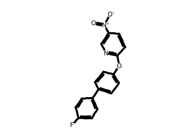 O=[N+]([O-])c1ccc(Oc2ccc(-c3ccc(F)cc3)cc2)nc1